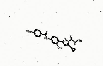 CCC(C)NC(=O)n1nc(-c2ccc(NC(=O)c3ccc(C(C)(C)C)cc3)cc2O)cc1C1CC1